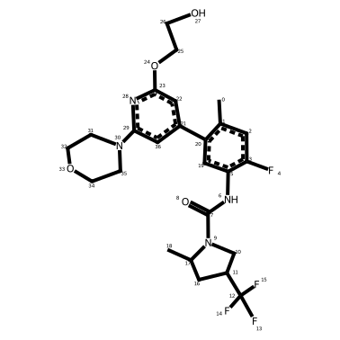 Cc1cc(F)c(NC(=O)N2CC(C(F)(F)F)CC2C)cc1-c1cc(OCCO)nc(N2CCOCC2)c1